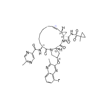 Cc1cnc(C(=O)N[C@H]2CCCCC/C=C\[C@@H]3C[C@@]3(C(=O)NS(=O)(=O)C3(C)CC3)NC(=O)[C@@H]3C[C@@H](Oc4nc5c(F)cccc5nc4C)CN3C2=O)cn1